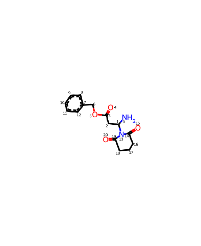 NC(CC(=O)OCc1ccccc1)N1C(=O)CCCC1=O